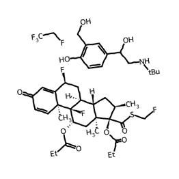 CC(C)(C)NCC(O)c1ccc(O)c(CO)c1.CCC(=O)O[C@H]1C[C@@]2(C)[C@@H](C[C@@H](C)[C@]2(OC(=O)CC)C(=O)SCF)[C@@H]2C[C@H](F)C3=CC(=O)C=C[C@]3(C)[C@@]12F.FCC(F)(F)F